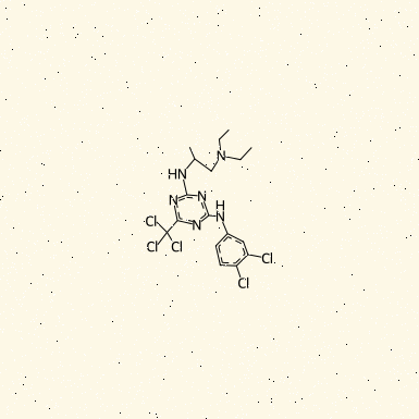 CCN(CC)CC(C)Nc1nc(Nc2ccc(Cl)c(Cl)c2)nc(C(Cl)(Cl)Cl)n1